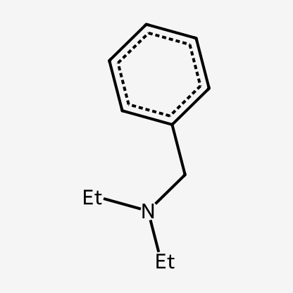 [CH2]CN(CC)Cc1ccccc1